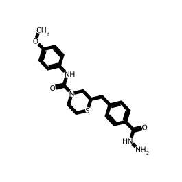 COc1ccc(NC(=O)N2CCSC(Cc3ccc(C(=O)NN)cc3)C2)cc1